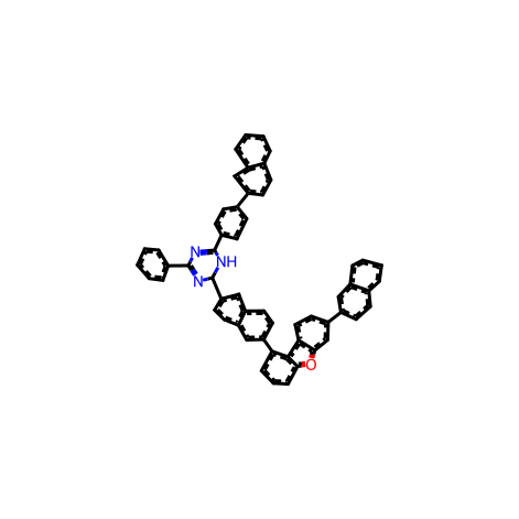 c1ccc(C2=NC(c3ccc4cc(-c5cccc6oc7cc(-c8ccc9ccccc9c8)ccc7c56)ccc4c3)NC(c3ccc(-c4ccc5ccccc5c4)cc3)=N2)cc1